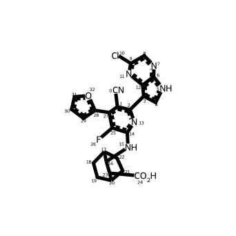 N#Cc1c(-c2c[nH]c3ncc(Cl)nc23)nc(NC2C3CCC(CC3)C2C(=O)O)c(F)c1-c1ccco1